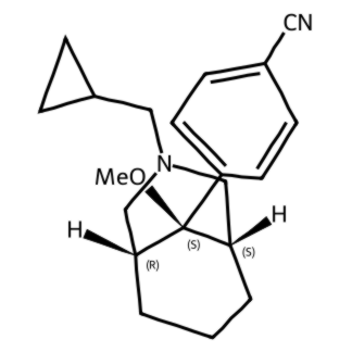 CO[C@]1(c2ccc(C#N)cc2)[C@@H]2CCC[C@H]1CN(CC1CC1)C2